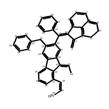 C=C1C2=c3c(cccc3=CCC2)/C1=C(\c1ccccc1)c1cc2c(cc1Cc1ccccc1)-c1cccc(/C=C\CCC)c1/C2=C\C